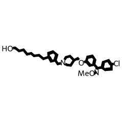 CON=C(c1ccc(Cl)cc1)c1cccc(OCC2CCN(Cc3cccc(CCCCCCCCO)c3)CC2)c1